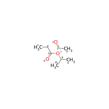 CC=O.CCC(=O)OC(C)C